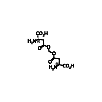 N[C@@H](CC(=O)OCOC(=O)C[C@H](N)C(=O)O)C(=O)O